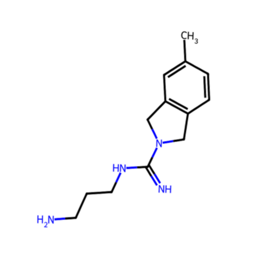 Cc1ccc2c(c1)CN(C(=N)NCCCN)C2